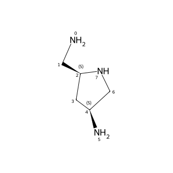 NC[C@@H]1C[C@H](N)CN1